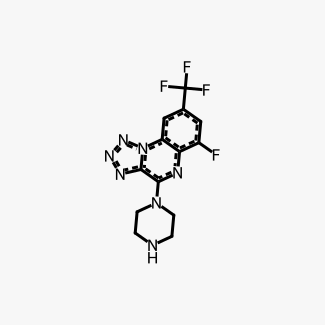 Fc1cc(C(F)(F)F)cc2c1nc(N1CCNCC1)c1nnnn12